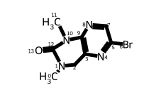 CN1Cc2nc(Br)cnc2N(C)C1=O